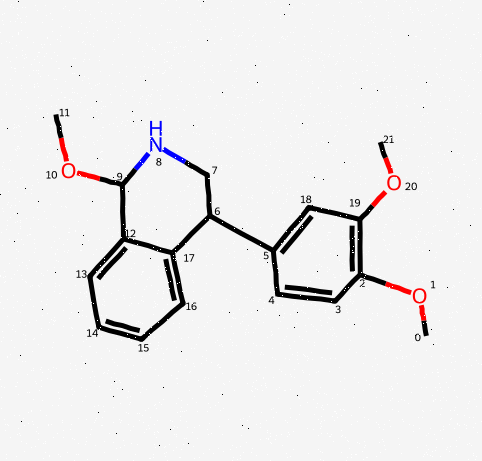 COc1ccc(C2CNC(OC)c3ccccc32)cc1OC